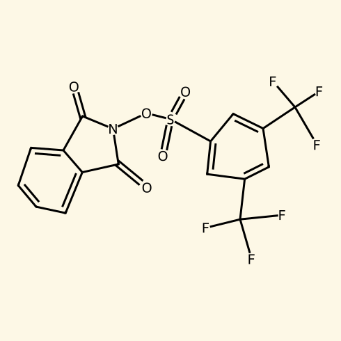 O=C1c2ccccc2C(=O)N1OS(=O)(=O)c1cc(C(F)(F)F)cc(C(F)(F)F)c1